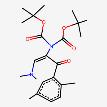 Cc1ccc(C)c(C(=O)C(=CN(C)C)N(C(=O)OC(C)(C)C)C(=O)OC(C)(C)C)c1